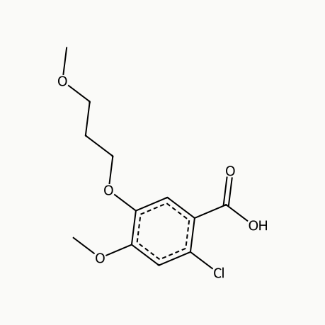 COCCCOc1cc(C(=O)O)c(Cl)cc1OC